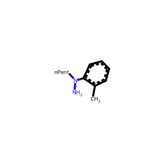 CCCCCN(N)c1ccccc1C